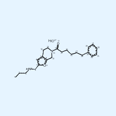 CCCNCc1cc2c(o1)CN(C(=O)CCCCCc1ccccc1)CC2.Cl